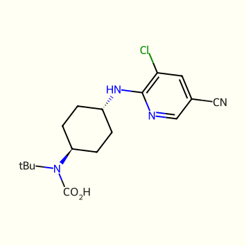 CC(C)(C)N(C(=O)O)[C@H]1CC[C@H](Nc2ncc(C#N)cc2Cl)CC1